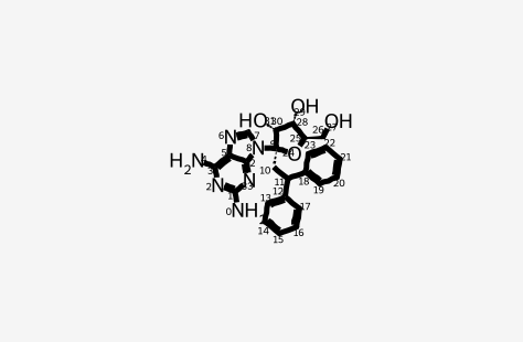 Nc1nc(N)c2ncn([C@]3(CC(c4ccccc4)c4ccccc4)O[C@H](CO)[C@@H](O)[C@H]3O)c2n1